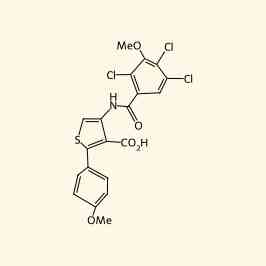 COc1ccc(-c2scc(NC(=O)c3cc(Cl)c(Cl)c(OC)c3Cl)c2C(=O)O)cc1